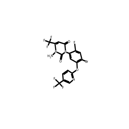 Nn1c(C(F)(F)F)cc(=O)n(-c2cc(Oc3ccc(C(F)(F)F)cn3)c(Br)cc2F)c1=O